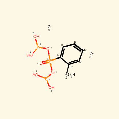 O=P(OP(O)O)(OP(O)O)c1ccccc1S(=O)(=O)O.[Zr].[Zr]